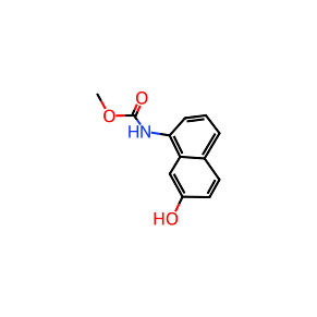 COC(=O)Nc1cccc2ccc(O)cc12